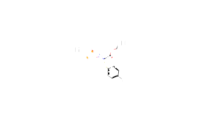 CCOC(=O)/C(=N/OS(C)(=O)=O)Sc1ccc(C)cc1